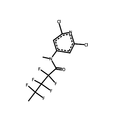 CN(C(=O)C(F)(F)C(F)(F)C(C)(F)F)c1cc(Cl)nc(Cl)c1